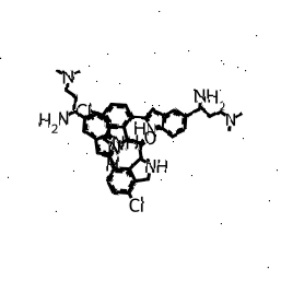 CN(C)CCC(N)c1ccc2[nH]c(-c3ccc(Cl)c4c3C(C(=O)C3NCc5c(Cl)ccc(-c6cc7cc(C(N)CCN(C)C)ccc7[nH]6)c53)NC4)cc2c1